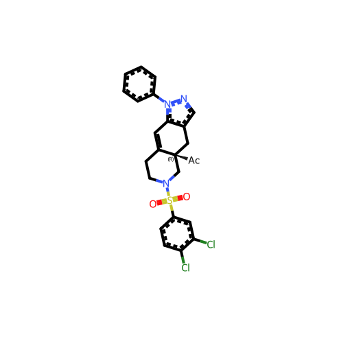 CC(=O)[C@]12Cc3cnn(-c4ccccc4)c3C=C1CCN(S(=O)(=O)c1ccc(Cl)c(Cl)c1)C2